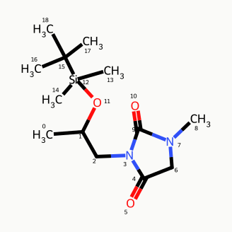 CC(CN1C(=O)CN(C)C1=O)O[Si](C)(C)C(C)(C)C